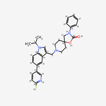 CC(C)n1cc(CN2CCC3(CC2)CN(c2ccccc2)C(=O)O3)c2cc(-c3ccc(F)nc3)ccc21